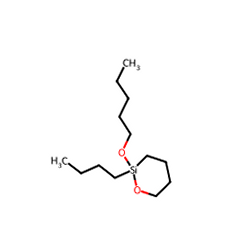 CCCCCO[Si]1(CCCC)CCCCO1